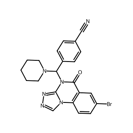 N#Cc1ccc(C(N2CCCCC2)n2c(=O)c3cc(Br)ccc3n3cnnc23)cc1